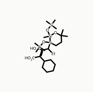 CCC(C(C(=O)O)=C(C(=O)O)C1CCCCC1)[Si]1(O[Si](C)(C)C)CCC(C)(C)O[Si]1(C)O[Si](C)(C)C